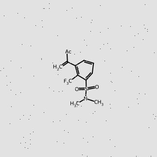 C=C(C(C)=O)c1cccc(S(=O)(=O)N(C)C)c1C(F)(F)F